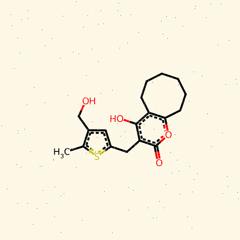 Cc1sc(Cc2c(O)c3c(oc2=O)CCCCCC3)cc1CO